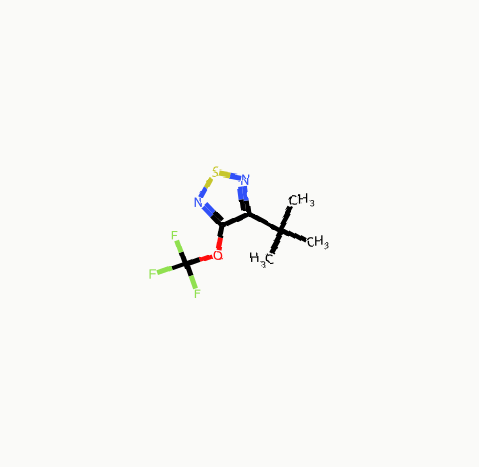 CC(C)(C)c1nsnc1OC(F)(F)F